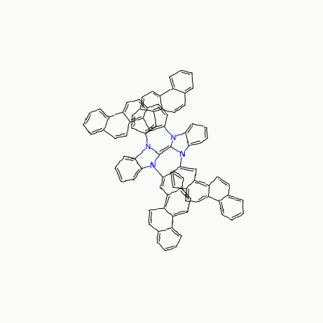 c1ccc2c(c1)N(c1ccc3ccc4c5ccccc5ccc4c3c1)C(=C1N(c3ccc4ccc5c6ccccc6ccc5c4c3)c3ccccc3N1c1ccc3ccc4c5ccccc5ccc4c3c1)N2c1ccc2ccc3c4ccccc4ccc3c2c1